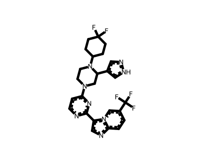 FC1(F)CCC(N2CCN(c3ccnc(-c4cnc5ccc(C(F)(F)F)cn45)n3)CC2c2cn[nH]c2)CC1